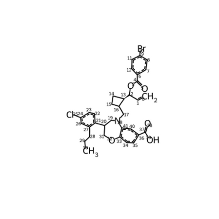 C=CC(OC(=O)c1ccc(Br)cc1)[C@@H]1CCC1CN1CC(c2ccc(Cl)cc2CCC)COc2ccc(C(=O)O)cc21